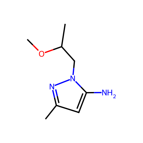 COC(C)Cn1nc(C)cc1N